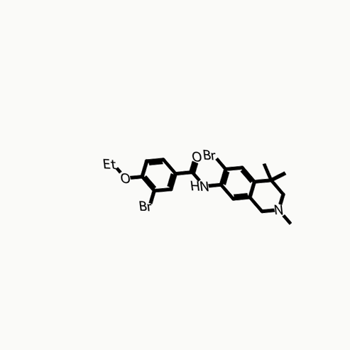 CCOc1ccc(C(=O)Nc2cc3c(cc2Br)C(C)(C)CN(C)C3)cc1Br